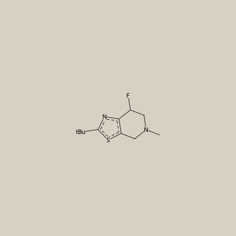 CN1Cc2sc(C(C)(C)C)nc2C(F)C1